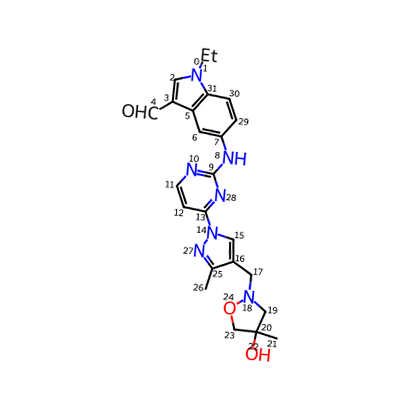 CCn1cc(C=O)c2cc(Nc3nccc(-n4cc(CN5CC(C)(O)CO5)c(C)n4)n3)ccc21